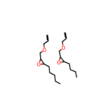 C=CCOCC1OC1CCCC.C=CCOCC1OC1CCCCC